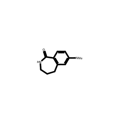 CNc1ccc2c(c1)CCCNC2=O